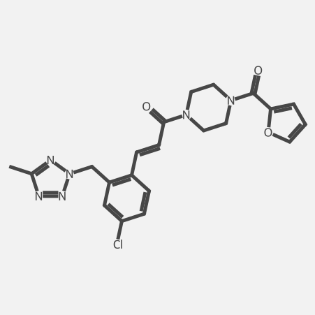 Cc1nnn(Cc2cc(Cl)ccc2C=CC(=O)N2CCN(C(=O)c3ccco3)CC2)n1